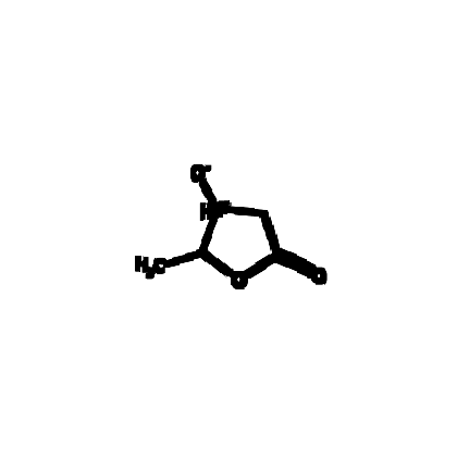 CC1OC(=O)C[NH+]1[O-]